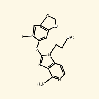 CC(=O)OCCn1c(Sc2cc3c(cc2I)OCO3)nc2c(N)nccc21